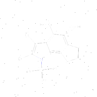 CCc1c(CC)n([Si](C(C)C)(C(C)C)C(C)C)c2c3c(c(C(=O)O)c(C(=O)O)c12)CCC3